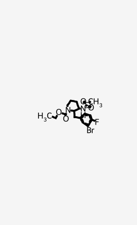 CCOC(=O)N1CCCC(NS(C)(=O)=O)C1Cc1ccc(F)c(Br)c1